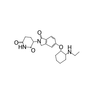 CCNC1CCCCC1Oc1ccc2c(c1)CN(C1CCC(=O)NC1=O)C2=O